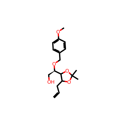 C=CCC1OC(C)(C)OC1[C@@H](CO)OCc1ccc(OC)cc1